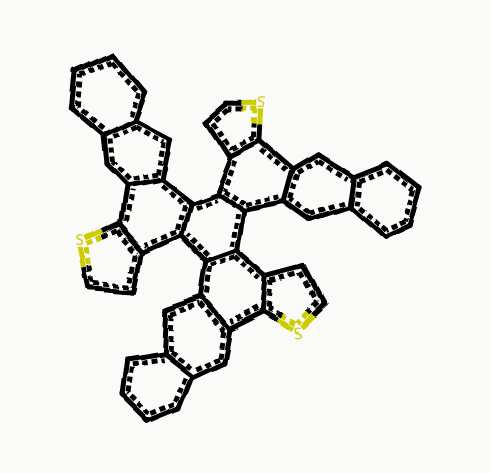 c1ccc2cc3c(cc2c1)c1sccc1c1c3c2c3ccsc3c3cc4ccccc4cc3c2c2c3ccsc3c3cc4ccccc4cc3c12